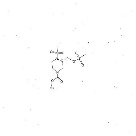 CC(C)(C)OC(=O)N1CCN(S(C)(=O)=O)[C@H](COS(C)(=O)=O)C1